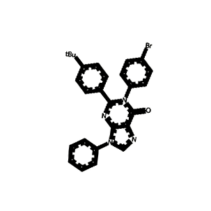 CC(C)(C)c1ccc(-c2nc3c(ncn3-c3ccccc3)c(=O)n2-c2ccc(Br)cc2)cc1